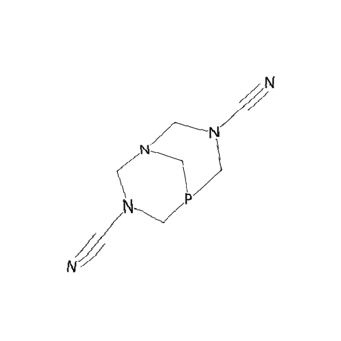 N#CN1CN2CN(C#N)CP(C1)C2